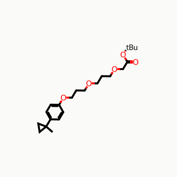 CC(C)(C)OC(=O)COCCCOCCCOc1ccc(C2(C)CC2)cc1